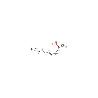 CCCC/C=C/[C@@H]1C[C@H]1[C@@H](C)O